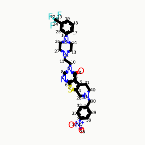 O=c1c2c3c(sc2ncn1CCN1CCN(c2cccc(C(F)(F)F)c2)CC1)CN(Cc1ccc([N+](=O)[O-])cc1)CC3